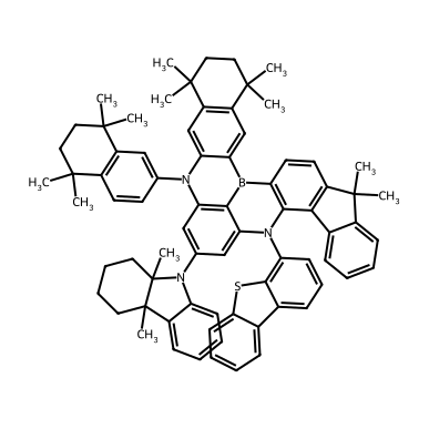 CC1(C)CCC(C)(C)c2cc(N3c4cc5c(cc4B4c6ccc7c(c6N(c6cccc8c6sc6ccccc68)c6cc(N8c9ccccc9C9(C)CCCCC89C)cc3c64)-c3ccccc3C7(C)C)C(C)(C)CCC5(C)C)ccc21